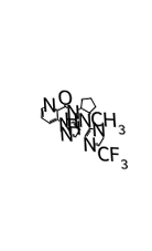 C[C@]1(Nc2cnc(C(F)(F)F)cn2)CCCC1NC(=O)c1ncccc1-n1cccn1